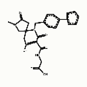 CN1CC2(CC1=O)CC(O)=C(C(=O)NCC(=O)O)C(=O)N2Cc1ccc(-c2ccccc2)cc1